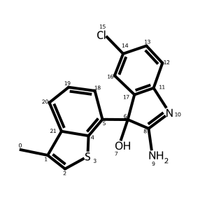 Cc1csc2c(C3(O)C(N)=Nc4ccc(Cl)cc43)cccc12